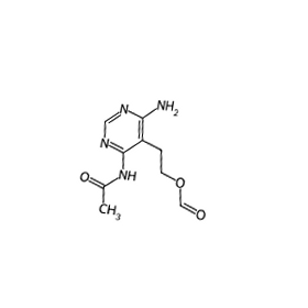 CC(=O)Nc1ncnc(N)c1CCOC=O